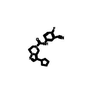 N#Cc1cc(NC(=O)N2CCn3ncc(C4CCCC4)c3C2)ccc1F